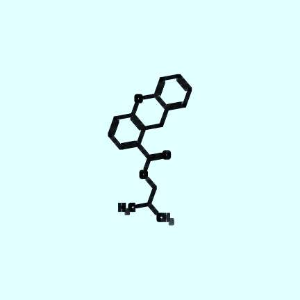 CC(C)COC(=O)c1cccc2c1Cc1ccccc1O2